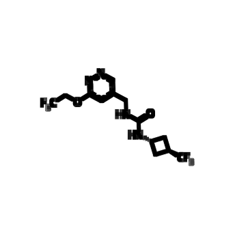 O=C(NCc1cnnc(OCC(F)(F)F)c1)N[C@H]1C[C@H](C(F)(F)F)C1